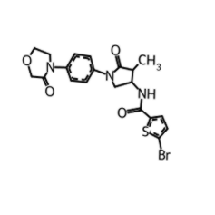 CC1C(=O)N(c2ccc(N3CCOCC3=O)cc2)CC1NC(=O)c1ccc(Br)s1